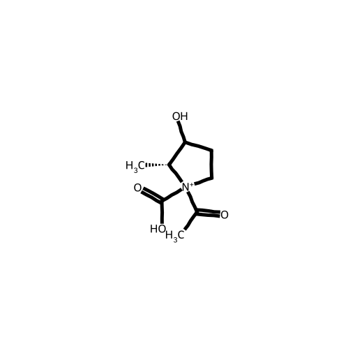 CC(=O)[N+]1(C(=O)O)CCC(O)[C@H]1C